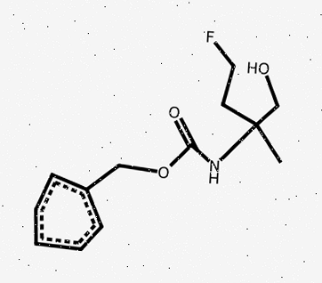 CC(CO)(CCF)NC(=O)OCc1ccccc1